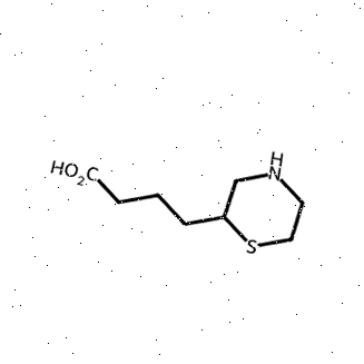 O=C(O)CCCC1CNCCS1